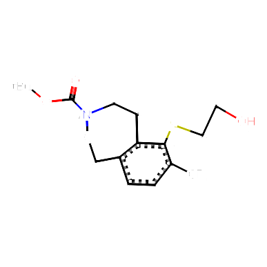 CC(C)(C)OC(=O)N1CCc2ccc(C(F)(F)F)c(SCCO)c2CC1